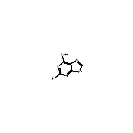 CCCc1nc(NC)c2nc[nH]c2n1